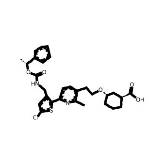 Cc1nc(-c2sc(Cl)cc2CNC(=O)O[C@H](C)c2ccccc2)ccc1CCO[C@H]1CCC[C@H](C(=O)O)C1